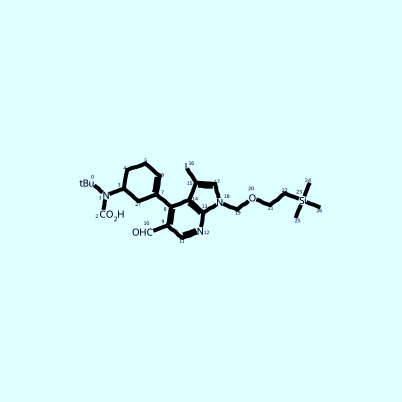 CC(C)(C)N(C(=O)O)C1CCC=C(c2c(C=O)cnc3c2c(I)cn3COCC[Si](C)(C)C)C1